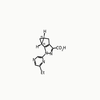 CCc1cncc(-n2nc(C(=O)O)c3c2[C@@H]2C[C@@H]2C3)n1